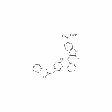 CCN(Cc1ccccc1)Cc1ccc(NC(=C2C(=O)Nc3cc(C(=O)OC)ccc32)c2ccccc2)cc1